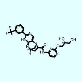 O=C(Nc1ccnc(OC[C@H](O)CO)n1)C1C[C@H]2CN1C1=CN=C(c3cccc(C(F)(F)F)c3)NC1=N2